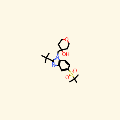 CC(C)(C)c1nc2cc(S(=O)(=O)C(C)(C)C)ccc2n1CC1(O)CCOCC1